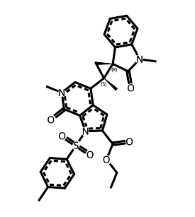 CCOC(=O)c1cc2c([C@]3(C)C[C@@]34C(=O)N(C)c3ccccc34)cn(C)c(=O)c2n1S(=O)(=O)c1ccc(C)cc1